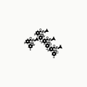 O=C(NOCC1CC1)c1ccc(F)c(F)c1Nc1ccc(I)cc1Br.O=C(NOCC1CC1)c1ccc(F)c(F)c1Nc1ccc(I)cc1Cl.O=C(NOCC1CC1)c1ccc(F)cc1Nc1ccc(I)cc1Br.O=C(NOCC1CC1)c1ccc(F)cc1Nc1ccc(I)cc1Cl